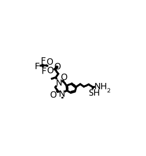 CC(CC(=O)OC(=O)C(F)(F)F)N1CC(=O)N(C)c2ccc(CCCC(N)S)cc2C1=O